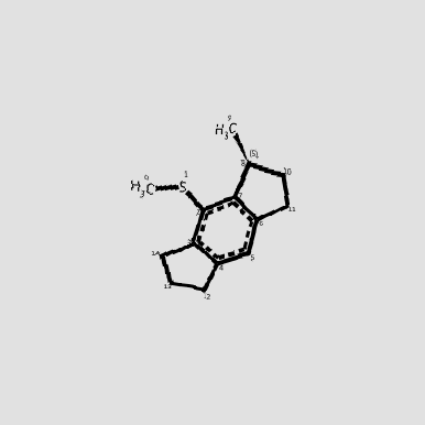 CSc1c2c(cc3c1[C@@H](C)CC3)CCC2